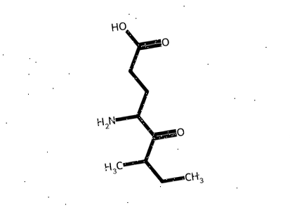 CCC(C)C(=O)C(N)CCC(=O)O